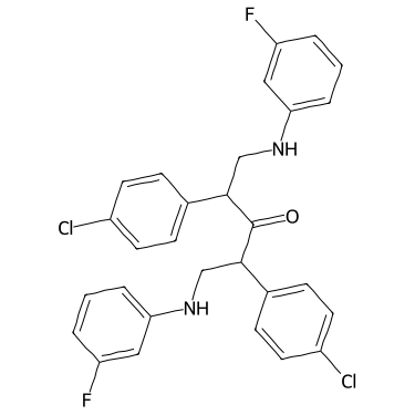 O=C(C(CNc1cccc(F)c1)c1ccc(Cl)cc1)C(CNc1cccc(F)c1)c1ccc(Cl)cc1